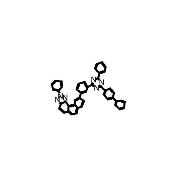 c1ccc(-c2ccc(-c3nc(-c4ccccc4)nc(-c4cccc(-c5ccc6ccc7ccc8nn(-c9ccccc9)nc8c7c6c5)c4)n3)cc2)cc1